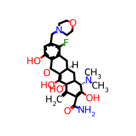 C=C1C(C(N)=O)=C(O)[C@@H](N(C)C)C2C[C@@H]3Cc4c(F)c(CN5CCOCC5)cc(O)c4C(=O)C3=C(O)[C@]12O